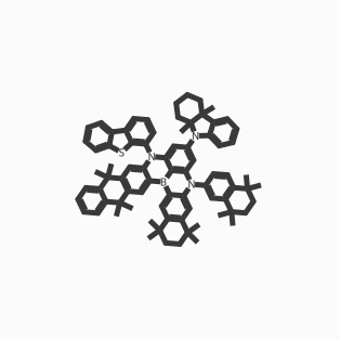 CC1(C)CCC(C)(C)c2cc(N3c4cc5c(cc4B4c6cc7c(cc6N(c6cccc8c6sc6ccccc68)c6cc(N8c9ccccc9C9(C)CCCCC89C)cc3c64)C(C)(C)c3ccccc3C7(C)C)C(C)(C)CCC5(C)C)ccc21